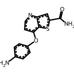 NC(=O)c1cc2nccc(Oc3ccc(N)cc3)c2s1